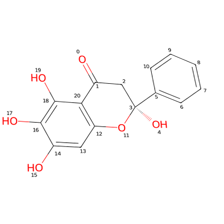 O=C1C[C@@](O)(c2ccccc2)Oc2cc(O)c(O)c(O)c21